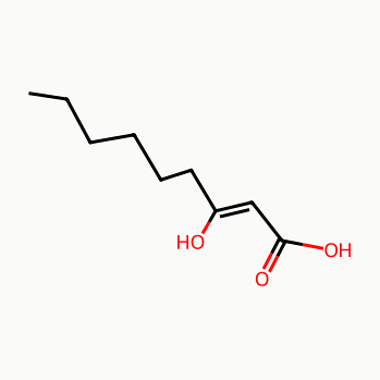 CCCCCCC(O)=CC(=O)O